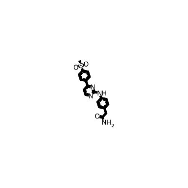 CS(=O)(=O)c1ccc(-c2ccnc(Nc3ccc(CC(N)=O)cc3)n2)cc1